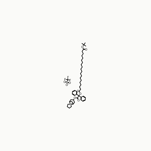 CC(C)(C)OC(=O)CCCCCCCCCCCCCCCCCCC(=O)OC(C(=O)OC1CC2CCC(C1)[N+]21CCCC1)(c1ccccc1)c1ccccc1.O=S(=O)([O-])C(F)(F)F